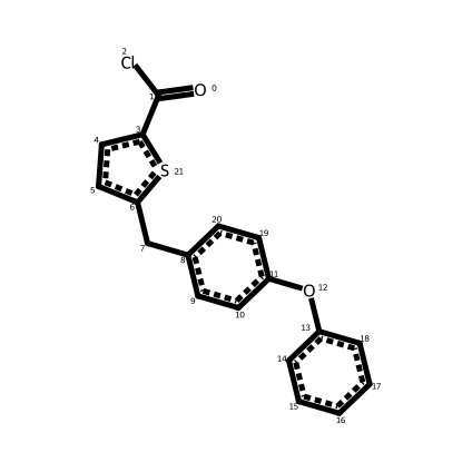 O=C(Cl)c1ccc(Cc2ccc(Oc3ccccc3)cc2)s1